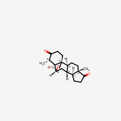 C[C@@H]1C(=O)CC[C@]23CO[C@H](C[C@@H]4[C@@H]2CC[C@]2(C)C(=O)CC[C@@H]42)[C@@]13Br